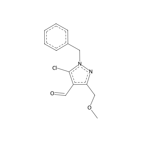 COCc1nn(Cc2ccccc2)c(Cl)c1C=O